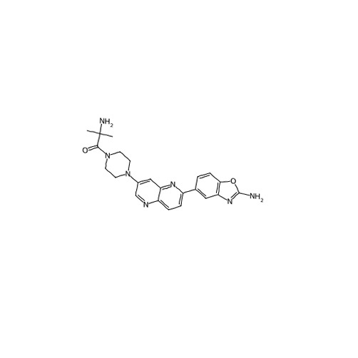 CC(C)(N)C(=O)N1CCN(c2cnc3ccc(-c4ccc5oc(N)nc5c4)nc3c2)CC1